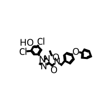 CCON(Cc1ccc(Oc2ccccc2)cc1)C(=O)c1ncn(-c2cc(Cl)c(O)c(Cl)c2)n1